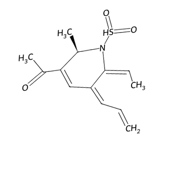 C=C/C=C1/C=C(C(C)=O)[C@@H](C)N([SH](=O)=O)/C1=C/C